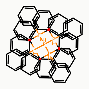 c1ccc([PH](c2ccccc2)(c2ccccc2)[PH]([PH](c2ccccc2)(c2ccccc2)c2ccccc2)([PH](c2ccccc2)(c2ccccc2)c2ccccc2)[PH](c2ccccc2)(c2ccccc2)c2ccccc2)cc1